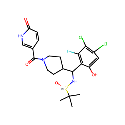 CC(C)(C)[S@+]([O-])NC(c1c(O)cc(Cl)c(Cl)c1F)C1CCN(C(=O)c2ccc(=O)[nH]c2)CC1